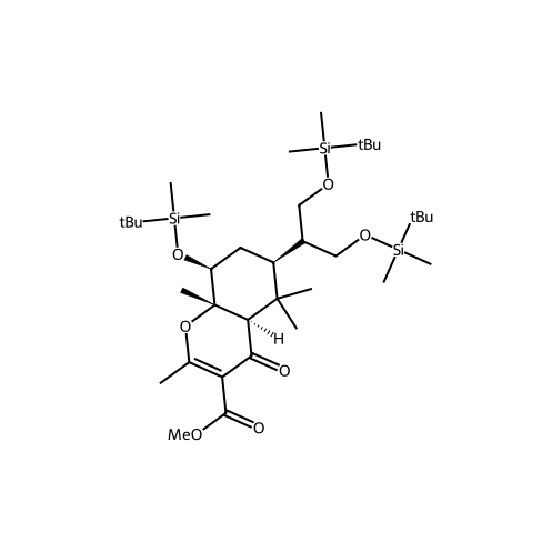 COC(=O)C1=C(C)O[C@]2(C)[C@@H](O[Si](C)(C)C(C)(C)C)C[C@@H](C(CO[Si](C)(C)C(C)(C)C)CO[Si](C)(C)C(C)(C)C)C(C)(C)[C@H]2C1=O